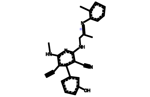 C#Cc1c(NC)nc(NC/C(C)=N/c2ccccc2C)c(C#N)c1-c1cccc(O)c1